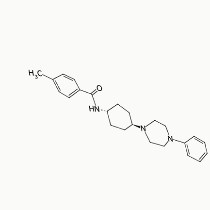 Cc1ccc(C(=O)N[C@H]2CC[C@H](N3CCN(c4ccccc4)CC3)CC2)cc1